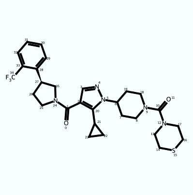 O=C(c1cnn(C2CCN(C(=O)N3CCSCC3)CC2)c1C1CC1)N1CC[C@@H](c2ccccc2C(F)(F)F)C1